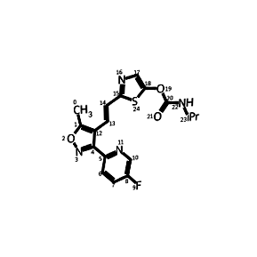 Cc1onc(-c2ccc(F)cn2)c1/C=C/c1ncc(OC(=O)NC(C)C)s1